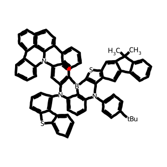 CC(C)(C)c1ccc(N2c3cccc4c3B(c3ccc(N(c5ccccc5-c5ccccc5)c5ccccc5-c5ccccc5)cc3N4c3cccc4sc5ccccc5c34)c3sc4cc5c(cc4c32)-c2ccccc2C5(C)C)cc1